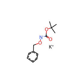 CC(C)(C)OC(=O)[N-]OCc1ccccc1.[K+]